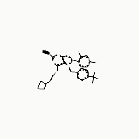 Cc1cc(Br)ccc1-c1nc2nc(C#N)nc(NCCC3CCC3)c2n1Cc1ccc(C(F)(F)F)cc1